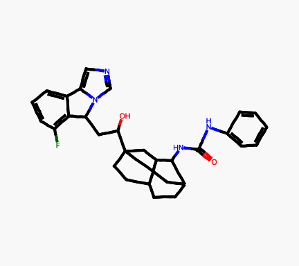 O=C(Nc1ccccc1)NC1C2CCC3CCC(C(O)CC4c5c(F)cccc5-c5cncn54)(C2)CC31